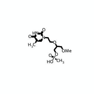 COCC(COP(C)(=O)O)OCCn1cc(C)c(=O)[nH]c1=O